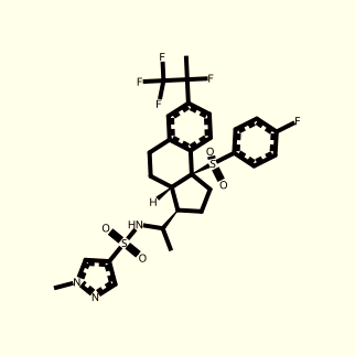 CC(NS(=O)(=O)c1cnn(C)c1)[C@@H]1CC[C@@]2(S(=O)(=O)c3ccc(F)cc3)c3ccc(C(C)(F)C(F)(F)F)cc3CC[C@@H]12